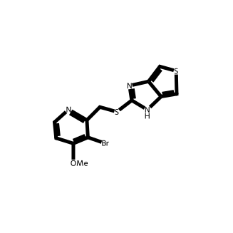 COc1ccnc(CSc2nc3cscc3[nH]2)c1Br